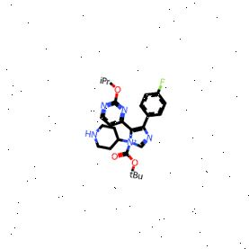 CC(C)Oc1nccc(C2=C(c3ccc(F)cc3)N=C[N+]2(C(=O)OC(C)(C)C)C2CCNCC2)n1